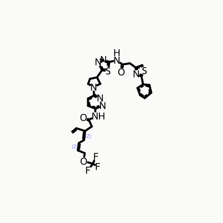 C=C/C(=C\C=C/COC(F)(F)F)CC(=O)Nc1ccc(N2CCC(c3nnc(NC(=O)Cc4csc(-c5ccccc5)n4)s3)C2)nn1